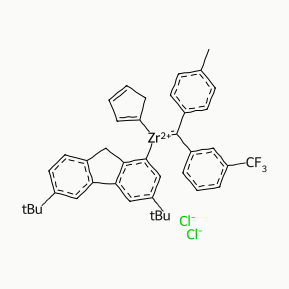 Cc1ccc(/[C](c2cccc(C(F)(F)F)c2)=[Zr+2](\[C]2=CC=CC2)[c]2cc(C(C)(C)C)cc3c2Cc2ccc(C(C)(C)C)cc2-3)cc1.[Cl-].[Cl-]